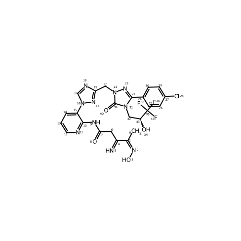 C/C(=N/O)C(=N)CC(=O)Nc1ncccc1-n1cnc(Cn2nc(-c3ccc(Cl)cc3)n(C[C@H](O)C(F)(F)F)c2=O)n1